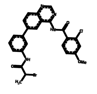 COc1ccc(C(=O)Nc2ncnc3ccc(-c4cccc(NC(=O)C(C)Br)c4)cc23)c(Cl)c1